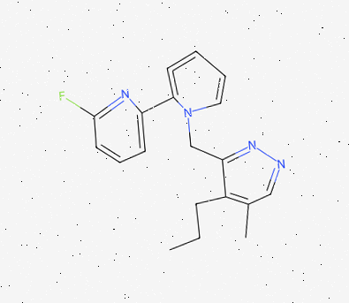 CCCc1c(C)cnnc1CN1C=CC=C=C1c1cccc(F)n1